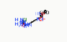 N=C(NCCCCCCCCCCCNC[C@H](O)c1ccc(OCc2ccccc2)c(NC=O)c1)NC(=O)c1nc(Cl)c(N)nc1N